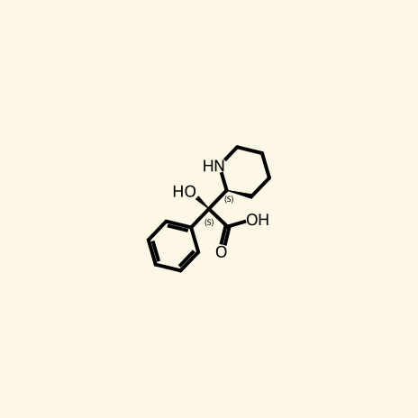 O=C(O)[C@](O)(c1ccccc1)[C@@H]1CCCCN1